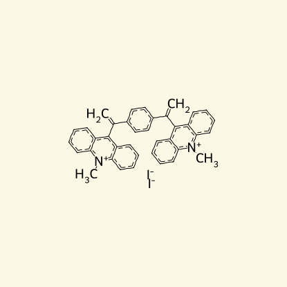 C=C(c1ccc(C(=C)c2c3ccccc3[n+](C)c3ccccc23)cc1)c1c2ccccc2[n+](C)c2ccccc12.[I-].[I-]